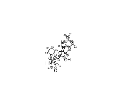 COC(=O)[C@H](C)N[P@@](=S)(OC[C@H]1O[C@@H](n2cnc3c(N(C)C)nc(C)nc32)[C@](C)(F)[C@@H]1O)Oc1ccccc1